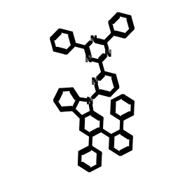 c1ccc(-c2nc(-c3ccccc3)nc(-c3cccc(-n4c5ccccc5c5cc(-c6ccccc6)c(-c6ccccc6-c6ccccc6)cc54)n3)n2)cc1